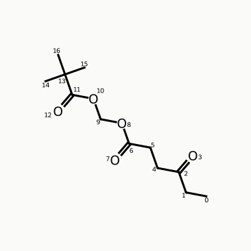 CCC(=O)CCC(=O)OCOC(=O)C(C)(C)C